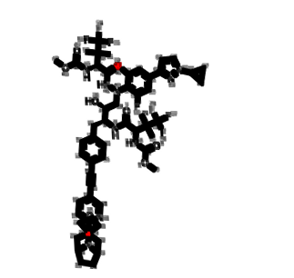 COC(=O)NC(C(=O)N[C@@H](Cc1ccc(C#Cc2ccc(N3CC4CCC(C3)N4C3COC3)nc2)cc1)[C@@H](O)CN(NC(=O)[C@@H](NC(=O)OC)C(C)(C)C(F)(F)F)c1c(F)cc(-c2ccn(C3CC3)n2)cc1F)C(C)(C)C(F)(F)F